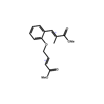 COC(=O)/C=C/COc1ccccc1/C=C(\C)C(=O)OC